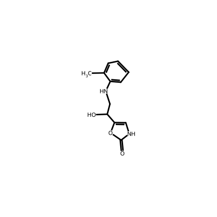 Cc1ccccc1NCC(O)c1c[nH]c(=O)o1